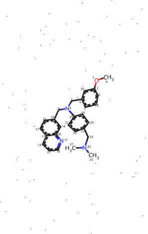 COc1cccc(CN(Cc2ccc3cccnc3c2)c2ccc(CN(C)C)cc2)c1